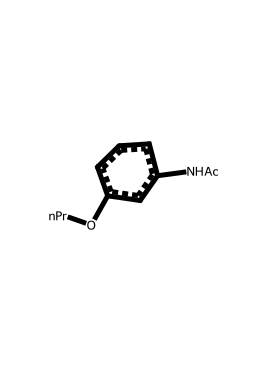 CCCOc1cccc(NC(C)=O)c1